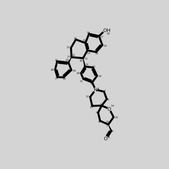 O=C[C@H]1CCC2(CCN(c3ccc([C@@H]4c5ccc(O)cc5CC[C@@H]4c4ccccc4)cc3)CC2)OC1